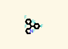 Fc1cc(F)c(C(c2ccccn2)c2c(F)cc(F)cc2F)c(F)c1